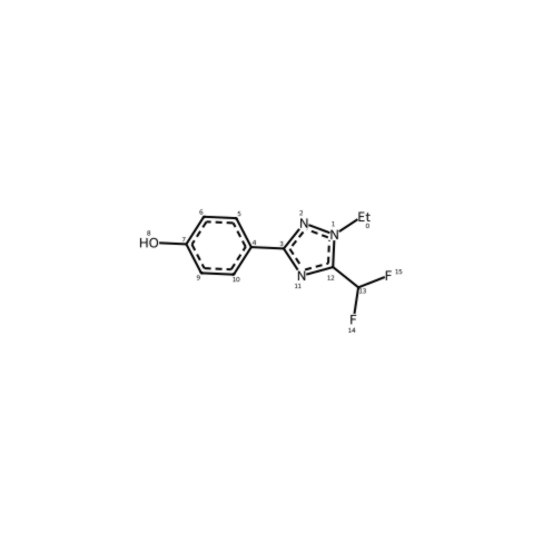 CCn1nc(-c2ccc(O)cc2)nc1C(F)F